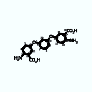 Nc1ccc(Oc2cccc(Oc3ccc(N)c(C(=O)O)c3)c2)cc1C(=O)O